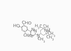 COc1cc(O)c(C=O)cc1-c1ccc(N(C)C2CC(C)(C)NC(C)(C)C2)nn1